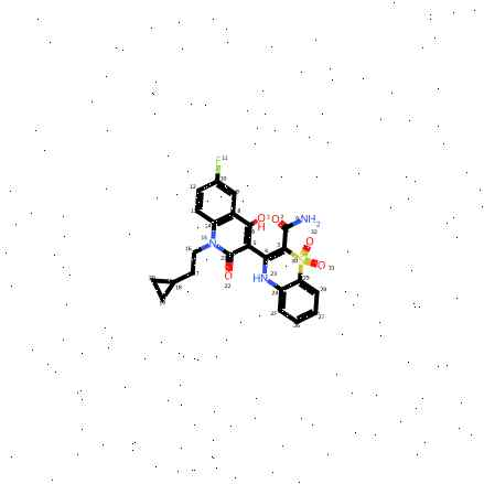 NC(=O)C1=C(c2c(O)c3cc(F)ccc3n(CCC3CC3)c2=O)Nc2cc[c]cc2S1(=O)=O